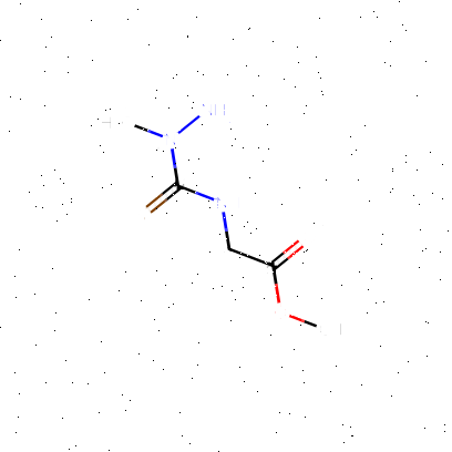 COC(=O)CNC(=S)N(C)N